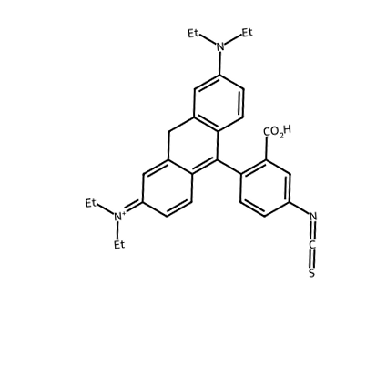 CCN(CC)c1ccc2c(c1)CC1=CC(=[N+](CC)CC)C=CC1=C2c1ccc(N=C=S)cc1C(=O)O